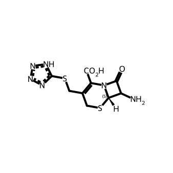 NC1C(=O)N2C(C(=O)O)=C(CSc3nnn[nH]3)CS[C@@H]12